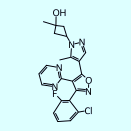 Cc1c(-c2onc(-c3c(F)cccc3Cl)c2-c2ncccn2)cnn1C1CC(C)(O)C1